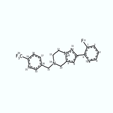 Fc1cccnc1-c1cc2n(n1)CCN(Cc1ccc(C(F)(F)F)nc1)C2